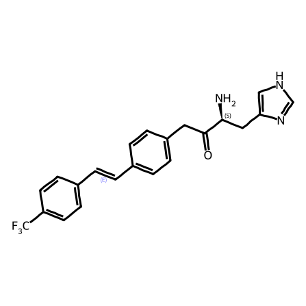 N[C@@H](Cc1c[nH]cn1)C(=O)Cc1ccc(/C=C/c2ccc(C(F)(F)F)cc2)cc1